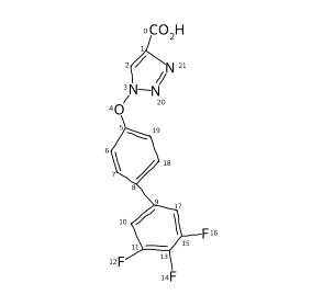 O=C(O)c1cn(Oc2ccc(-c3cc(F)c(F)c(F)c3)cc2)nn1